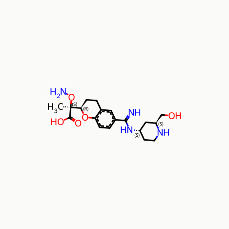 C[C@@](ON)(C(=O)O)[C@H]1CCc2cc(C(=N)N[C@H]3CCN[C@H](CO)C3)ccc2O1